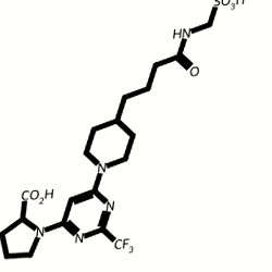 O=C(CCCC1CCN(c2cc(N3CCCC3C(=O)O)nc(C(F)(F)F)n2)CC1)NCS(=O)(=O)O